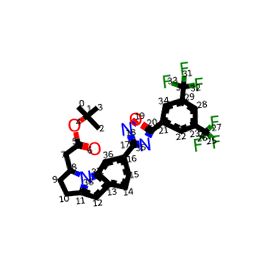 CC(C)(C)OC(=O)CC1CCc2cc3ccc(-c4noc(-c5cc(C(F)(F)F)cc(C(F)(F)F)c5)n4)cc3n21